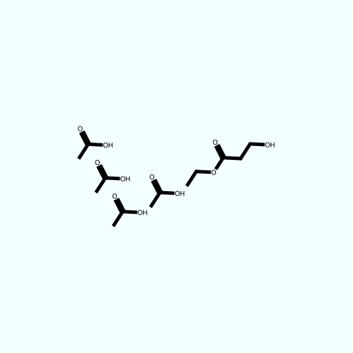 CC(=O)O.CC(=O)O.CC(=O)O.CC(=O)O.CCOC(=O)CCO